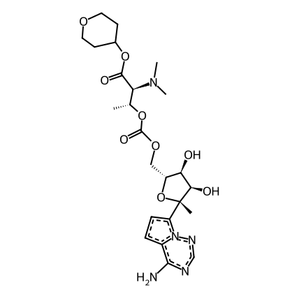 C[C@@H](OC(=O)OC[C@H]1O[C@@](C)(c2ccc3c(N)ncnn23)[C@H](O)[C@@H]1O)[C@@H](C(=O)OC1CCOCC1)N(C)C